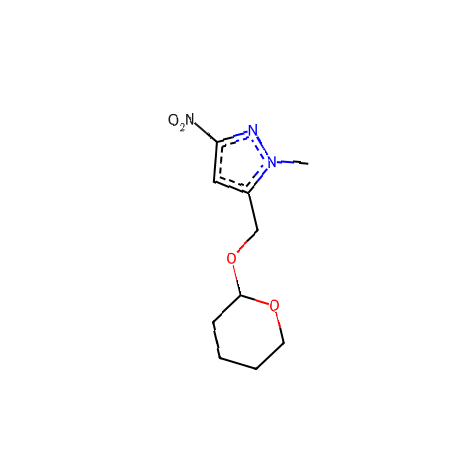 Cn1nc([N+](=O)[O-])cc1COC1CCCCO1